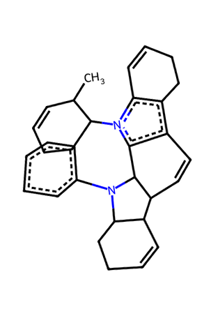 CC1C=CCCC1n1c2c(c3c1C1C(C=C3)C3C=CCCC3N1c1ccccc1)CCC=C2